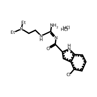 CCN(CC)CCNC(N)=NC(=O)c1cc2c(Cl)cccc2[nH]1.Cl.Cl